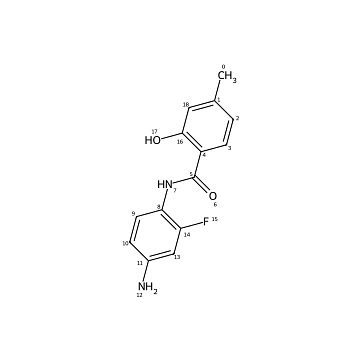 Cc1ccc(C(=O)Nc2ccc(N)cc2F)c(O)c1